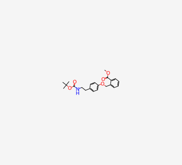 COC(=O)c1ccccc1COc1ccc(CCNC(=O)OC(C)(C)C)cc1